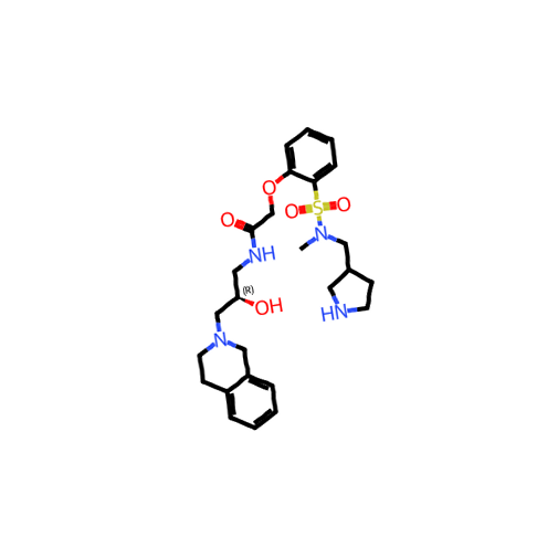 CN(CC1CCNC1)S(=O)(=O)c1ccccc1OCC(=O)NC[C@@H](O)CN1CCc2ccccc2C1